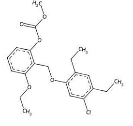 CCOc1cccc(OC(=O)OC)c1COc1cc(Cl)c(CC)cc1CC